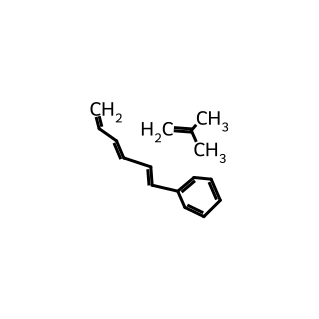 C=C(C)C.C=CC=CC=Cc1ccccc1